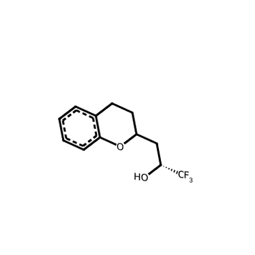 O[C@H](CC1CCc2ccccc2O1)C(F)(F)F